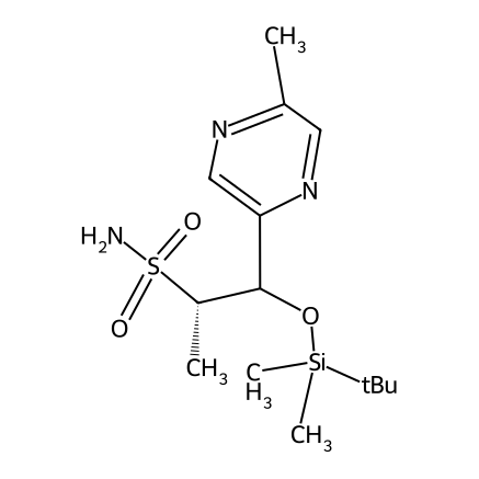 Cc1cnc(C(O[Si](C)(C)C(C)(C)C)[C@H](C)S(N)(=O)=O)cn1